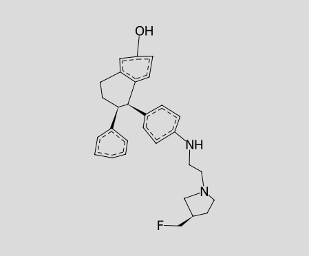 Oc1ccc2c(c1)CC[C@H](c1ccccc1)[C@@H]2c1ccc(NCCN2CC[C@@H](CF)C2)cc1